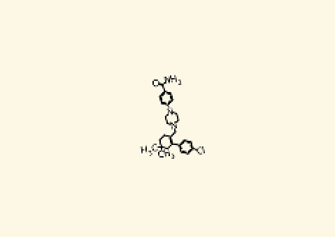 CC1(C)CCC(CN2CCN(c3ccc(C(N)=O)cc3)CC2)=C(c2ccc(Cl)cc2)C1